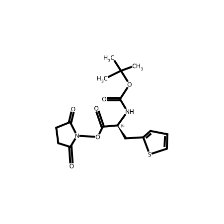 CC(C)(C)OC(=O)N[C@@H](Cc1cccs1)C(=O)ON1C(=O)CCC1=O